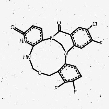 O=C1c2cc(Cl)c(F)cc2N2CN1c1ccc(=O)[nH]c1NCCCc1c2ccc(F)c1F